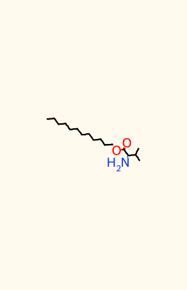 CCCCCCCCCCCCOC(=O)[C@@H](N)C(C)C